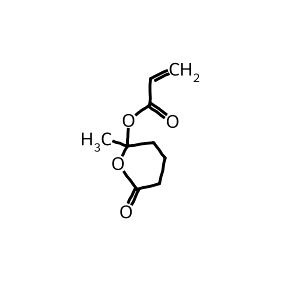 C=CC(=O)OC1(C)CCCC(=O)O1